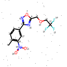 Cc1ccc(-c2noc(COCC(F)(F)F)n2)cc1[N+](=O)[O-]